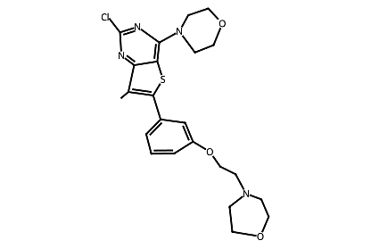 Cc1c(-c2cccc(OCCN3CCOCC3)c2)sc2c(N3CCOCC3)nc(Cl)nc12